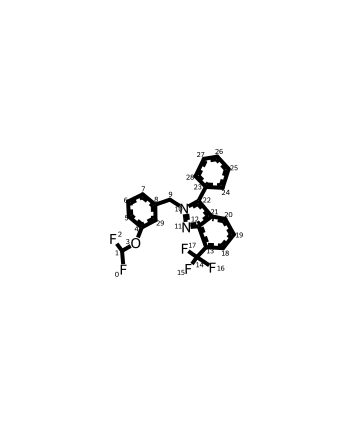 FC(F)Oc1cccc(Cn2nc3c(C(F)(F)F)cccc3c2-c2ccccc2)c1